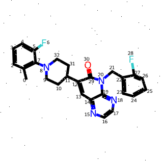 Cc1cccc(F)c1N1CCC(c2cc3nccnc3n(Cc3ccccc3F)c2=O)CC1